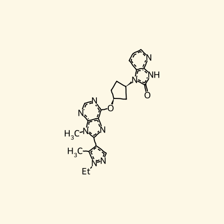 CCn1ncc(-c2nc3c(O[C@H]4CC[C@@H](n5c(=O)[nH]c6ncccc65)C4)ncnc3n2C)c1C